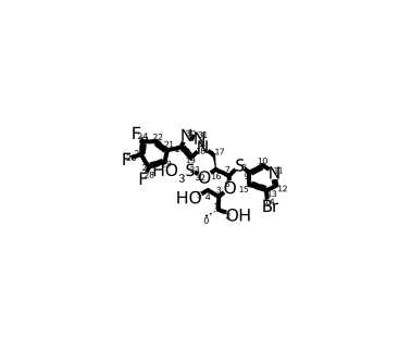 C[C@@H](O)C(CO)OC(Sc1cncc(Br)c1)[C@H](Cn1cc(-c2cc(F)c(F)c(F)c2)nn1)OS(=O)(=O)O